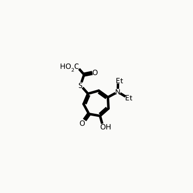 CCN(CC)c1cc(SC(=O)C(=O)O)cc(=O)c(O)c1